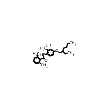 CCCCC(CC)COc1ccc(PC(=O)c2c(C)cccc2C)c(C)c1.[LiH]